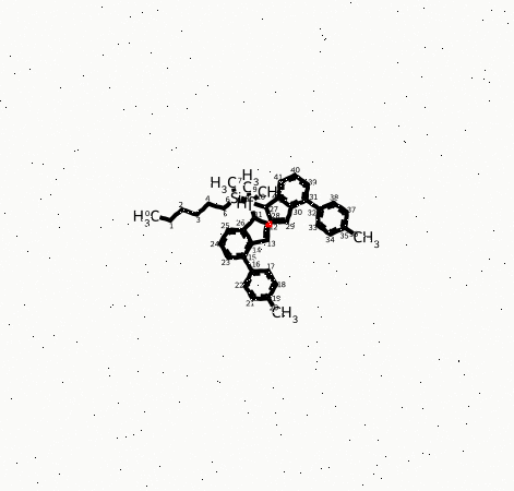 CCCCCC[Si](C)=[Hf]([CH3])([CH3])([CH]1C=Cc2c(-c3ccc(C)cc3)cccc21)[CH]1C=Cc2c(-c3ccc(C)cc3)cccc21